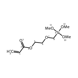 C=CC(=O)OCCOC[Si](OC)(OC)OC